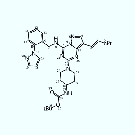 CCC/C=C/c1cnn2c(NCc3ccccc3-n3cccn3)nc(N3CCC(NC(=O)OC(C)(C)C)CC3)nc12